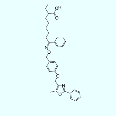 CCC(CCCCCC(=NOCc1ccc(OCc2nc(-c3ccccc3)oc2C)cc1)c1ccccc1)C(=O)O